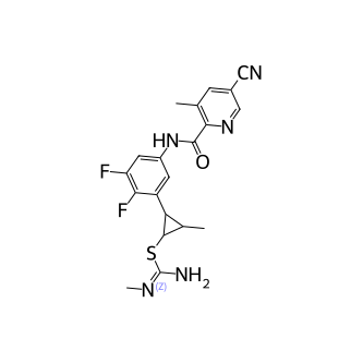 C/N=C(/N)SC1C(C)C1c1cc(NC(=O)c2ncc(C#N)cc2C)cc(F)c1F